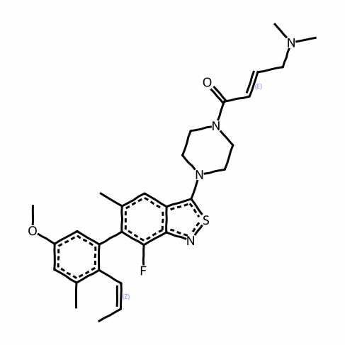 C/C=C\c1c(C)cc(OC)cc1-c1c(C)cc2c(N3CCN(C(=O)/C=C/CN(C)C)CC3)snc2c1F